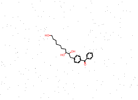 O=C(c1ccccc1)c1ccc(CC(O)C(O)CCCCCCCO)cc1